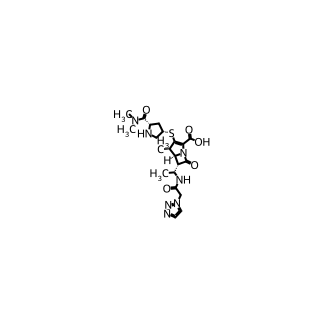 CC(NC(=O)Cn1ccnn1)[C@H]1C(=O)N2C(C(=O)O)=C(S[C@@H]3CN[C@H](C(=O)N(C)C)C3)[C@H](C)[C@H]12